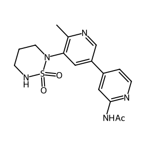 CC(=O)Nc1cc(-c2cnc(C)c(N3CCCNS3(=O)=O)c2)ccn1